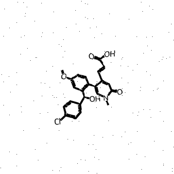 COc1ccc(-c2cn(C)c(=O)cc2C=CC(=O)O)c(C(O)c2ccc(Cl)cc2)c1